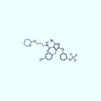 O=C(NCCCOC1CCCCO1)c1c(Br)nc(Oc2cccc(OC(F)(F)F)c2)n1Cc1ccc(Cl)cc1